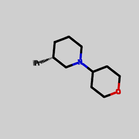 CC(C)[C@@H]1CCCN(C2CCOCC2)C1